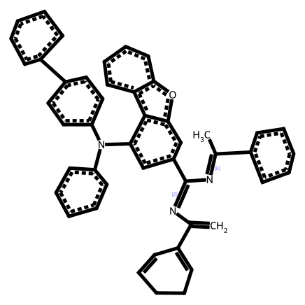 C=C(/N=C(\N=C(/C)c1ccccc1)c1cc(N(c2ccccc2)c2ccc(-c3ccccc3)cc2)c2c(c1)oc1ccccc12)C1=CCCC=C1